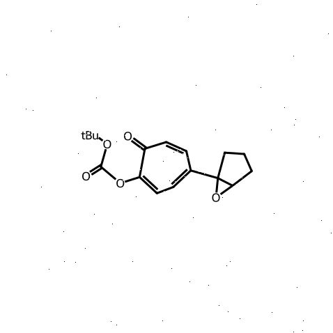 CC(C)(C)OC(=O)Oc1ccc(C23CCCC2O3)ccc1=O